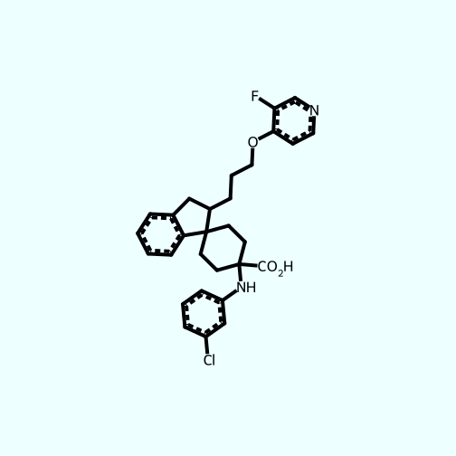 O=C(O)C1(Nc2cccc(Cl)c2)CCC2(CC1)c1ccccc1CC2CCCOc1ccncc1F